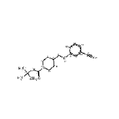 CC(C)(C)OC(=O)N1CCC(COc2cc(C#N)ccn2)CC1